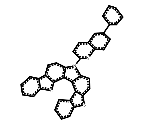 c1ccc(-c2ccc3nc(-n4c5ccc6c7ccccc7oc6c5c5c6c(ccc54)sc4ccccc46)ccc3c2)cc1